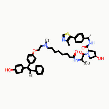 CC/C(=C(\c1ccc(O)cc1)c1ccc(OCCN(CC)CCCCCCCC(=O)NC(C(=O)N2C[C@H](O)C[C@H]2C(=O)N[C@@H](C)c2ccc(-c3scnc3C)cc2)C(C)(C)C)cc1)c1ccccc1